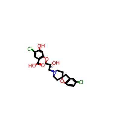 O=C(O)c1cc(Cl)c(O)cc1OC[C@H](O)CN1CCC2(CC1)Cc1cc(Cl)ccc1O2